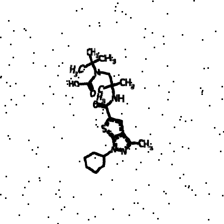 Cc1nn(C2CCCCC2)c2sc(C(=O)NC(C)(C)CN(C(=O)O)C(C)(C)C)cc12